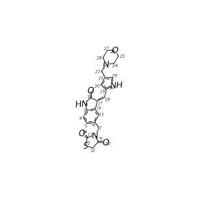 O=C1Nc2ccc(CN3C(=O)CSC3=O)cc2C1=Cc1cc(CN2CCOCC2)c[nH]1